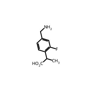 CC(C(=O)O)c1ccc(CN)cc1F